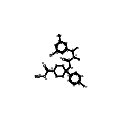 CC(c1cc(Br)cc(Br)c1)N(C)C(=O)CC1(c2ccc(F)cc2)CCN(C(=O)OC(C)(C)C)CC1